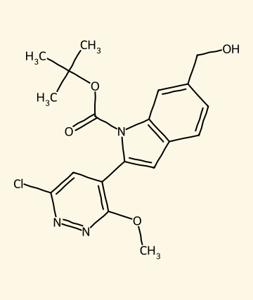 COc1nnc(Cl)cc1-c1cc2ccc(CO)cc2n1C(=O)OC(C)(C)C